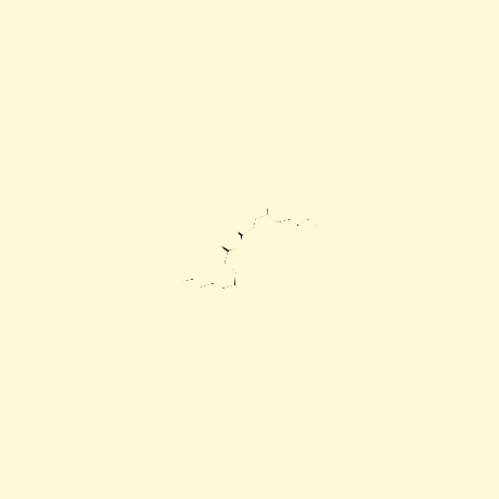 O=C(CCC(CCCCS)C(=O)O)OC(=O)CCC(CCCCS)C(=O)O